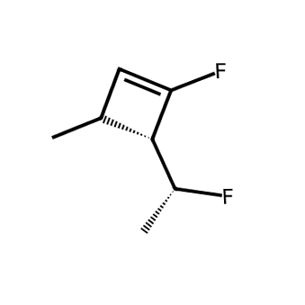 CC1C=C(F)[C@@H]1[C@@H](C)F